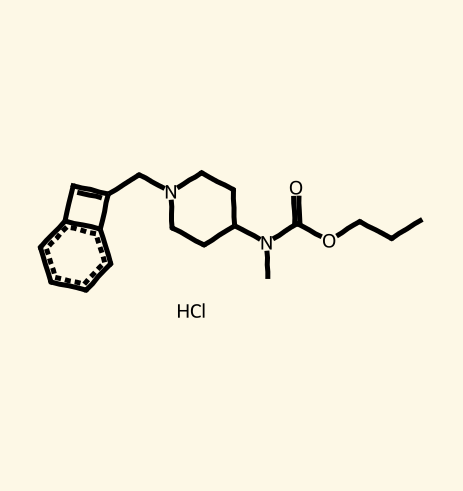 CCCOC(=O)N(C)C1CCN(CC2=Cc3ccccc32)CC1.Cl